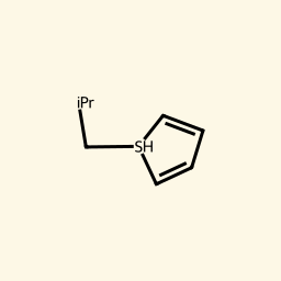 [CH2]C(C)C[SH]1C=CC=C1